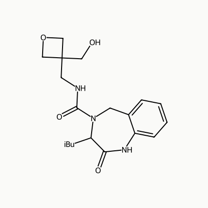 CCC(C)C1C(=O)Nc2ccccc2CN1C(=O)NCC1(CO)COC1